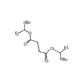 CCCCC(CC)OC(=O)CCC(=O)OC(CC)CCCC